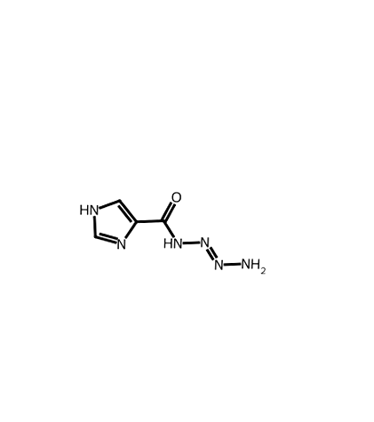 NN=NNC(=O)c1c[nH]cn1